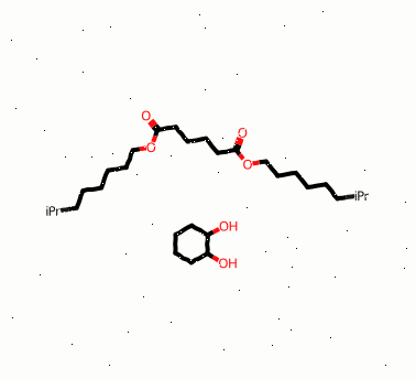 CC(C)CCCCCCOC(=O)CCCCC(=O)OCCCCCCC(C)C.OC1CCCCC1O